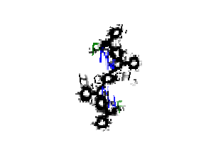 Cc1cc(-c2cc(-c3ccccc3)c3ccc4c(-c5ccccc5)cc(F)nc4c3n2)c(C)cc1-c1cc(-c2ccccc2)c2ccc3c(-c4ccccc4)cc(F)nc3c2n1